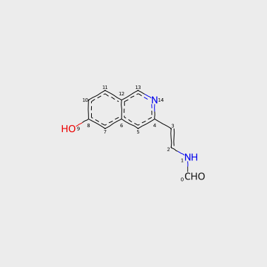 O=CNC=Cc1cc2cc(O)ccc2cn1